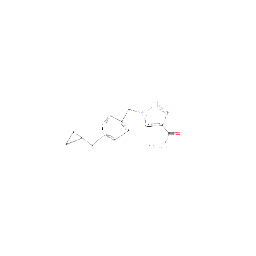 COC(=O)c1cnn(Cc2ccc(CC3CC3)cc2)c1